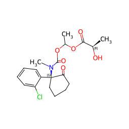 CC(OC(=O)[C@@H](C)O)OC(=O)N(C)[C@]1(c2ccccc2Cl)CCCCC1=O